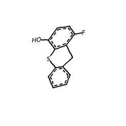 Oc1ccc(F)c2c1Sc1ccccc1C2